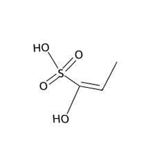 CC=C(O)S(=O)(=O)O